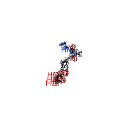 Cc1ccc([C@]23OC[C@](C(C)(C)O)(O2)[C@@H](O)[C@H](O)[C@H]3O)cc1Cc1ccc(CCCC(=O)N(C2CC2)C(C)(C)C(=O)NCCN(C)C)cc1